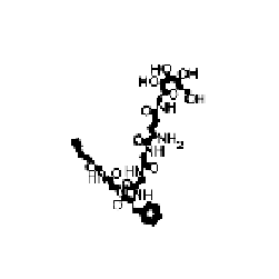 C#CCCOCNC(=O)CNC(=O)[C@H](Cc1ccccc1)NC(=O)CNC(=O)CNC(=O)[C@@H](N)CCC(=O)NC[C@@H]1O[C@H](CO)[C@@H](O)[C@H](O)[C@H]1O